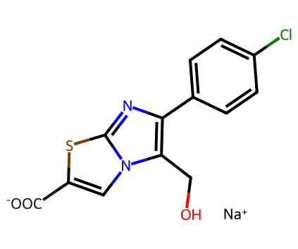 O=C([O-])c1cn2c(CO)c(-c3ccc(Cl)cc3)nc2s1.[Na+]